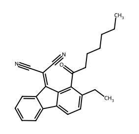 CCCCCCC(=O)c1c(CC)ccc2c1C(=C(C#N)C#N)c1ccccc1-2